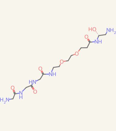 NCC(=O)NCC(=O)NCC(=O)NCCOCCOCCC(=O)N[C@H](O)CN